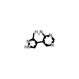 Cc1n[nH]cc1-c1cncnc1N